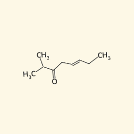 CCC=CCC(=O)C(C)C